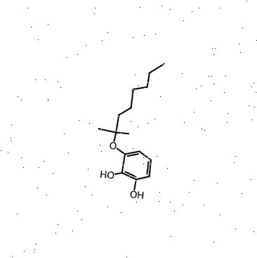 CCCCCCC(C)(C)Oc1cccc(O)c1O